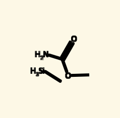 COC(N)=O.C[SiH3]